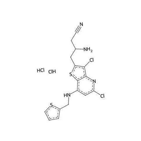 Cl.Cl.N#CCC(N)Cc1sc2c(NCc3cccs3)cc(Cl)nc2c1Cl